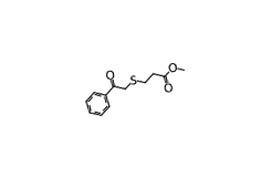 COC(=O)CCSCC(=O)c1ccccc1